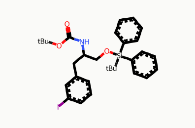 CC(C)(C)OC(=O)NC(CO[Si](c1ccccc1)(c1ccccc1)C(C)(C)C)Cc1cccc(I)c1